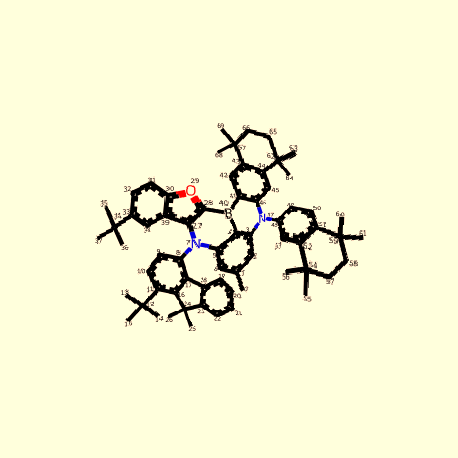 Cc1cc2c3c(c1)N(c1ccc(C(C)(C)C)c4c1-c1ccccc1C4(C)C)c1c(oc4ccc(C(C)(C)C)cc14)B3c1cc3c(cc1N2c1ccc2c(c1)C(C)(C)CCC2(C)C)C(C)(C)CCC3(C)C